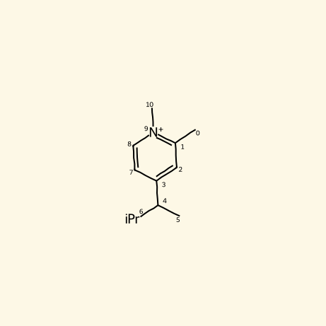 Cc1cc(C(C)C(C)C)cc[n+]1C